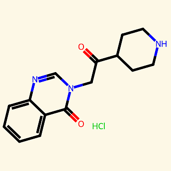 Cl.O=C(Cn1cnc2ccccc2c1=O)C1CCNCC1